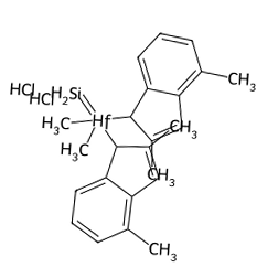 CC1=Cc2c(C)cccc2[CH]1[Hf]([CH3])([CH3])(=[SiH2])[CH]1C(C)=Cc2c(C)cccc21.Cl.Cl